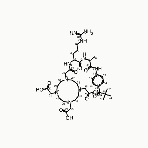 C[C@H](NC(=O)[C@H](CCCNC(=N)N)NC(=O)CN1CCN(CC(=O)O)CCN(CC(=O)O)CCN(CC(=O)O)CC1)C(=O)Nc1ccc(C(=O)C(C)(C)C)cc1